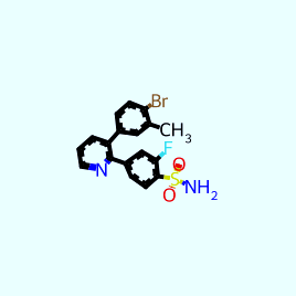 Cc1cc(-c2cccnc2-c2ccc(S(N)(=O)=O)c(F)c2)ccc1Br